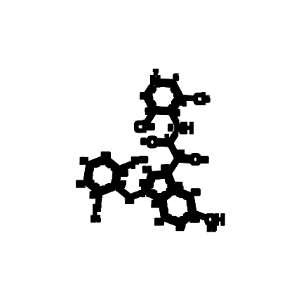 O=C(Nc1c(Cl)cncc1Cl)C(=O)c1cn(Cc2c(F)cccc2F)c2ccc(O)cc12